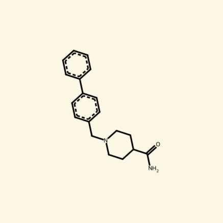 NC(=O)C1CCN(Cc2ccc(-c3ccccc3)cc2)CC1